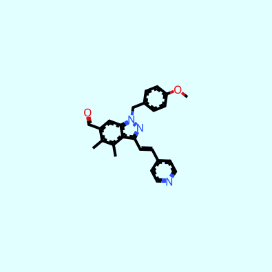 COc1ccc(Cn2nc(/C=C/c3ccncc3)c3c(C)c(C)c(C=O)cc32)cc1